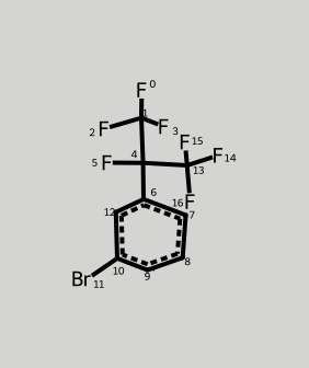 FC(F)(F)C(F)(c1cc[c]c(Br)c1)C(F)(F)F